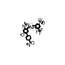 COc1cc2nc(C)nc(N[C@H](C)c3cc([N+](=O)[O-])cc(C(F)(F)F)c3)c2cc1C1=CCC(C(=O)N(C)C)CC1